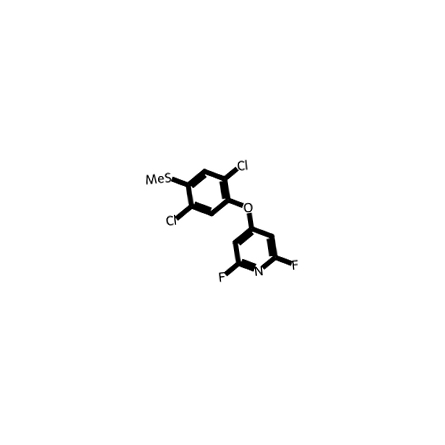 CSc1cc(Cl)c(Oc2cc(F)nc(F)c2)cc1Cl